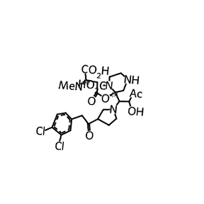 CN[C@H](CC(=O)O[C@]1(C(C(O)C(C)=O)N2CCC(C(=O)Cc3ccc(Cl)c(Cl)c3)C2)CNCCN1C(=O)O)C(=O)O